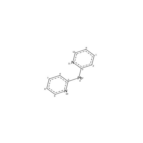 c1cc[c]([Pb][c]2ccccn2)nc1